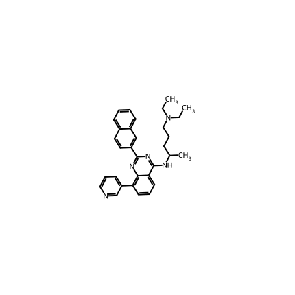 CCN(CC)CCCC(C)Nc1nc(-c2ccc3ccccc3c2)nc2c(-c3cccnc3)cccc12